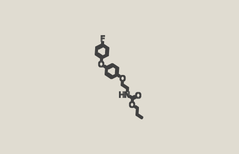 CCCOC(=O)NCCOc1ccc(Oc2ccc(F)cc2)cc1